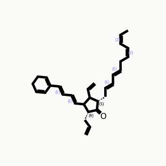 C=CC[C@H]1C(=O)[C@@H](C/C=C/C=C/C/C=C\C=C/C)C(C=C)C1/C=C/C=C/C1=CCCC=C1